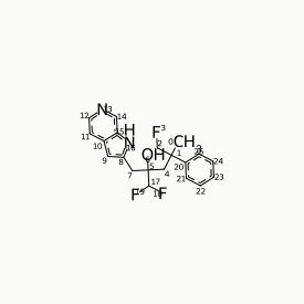 CC(CF)(CC(O)(Cc1cc2ccncc2[nH]1)C(F)F)c1ccccc1